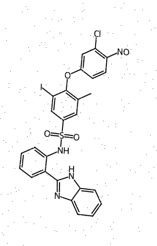 Cc1cc(S(=O)(=O)Nc2ccccc2-c2nc3ccccc3[nH]2)cc(I)c1Oc1ccc(N=O)c(Cl)c1